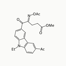 CCn1c2ccc(C(C)=O)cc2c2cc(C(=O)/C(CCC(=O)OC)=N/OC(C)=O)ccc21